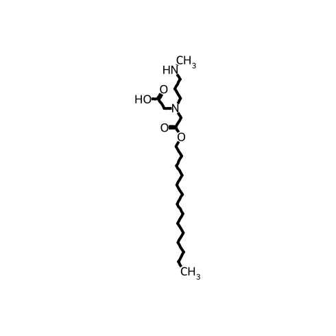 CCCCCCCCCCCCCCOC(=O)CN(CCCNC)CC(=O)O